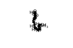 CC[C@@]1(O)CCc2ccc(-n3cc(F)c4cnc(Nc5ccc(NCCNC6CN(CC7CN(c8cc9c(cc8F)C(=O)N(C8CCC(=O)NC8=O)C9)C7)C6)cc5)nc43)nc21